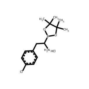 CC1(C)OB(C(N)Cc2ccc(Cl)cc2)OC1(C)C.Cl